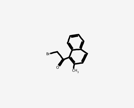 Cc1ccc2ccccc2c1C(=O)CBr